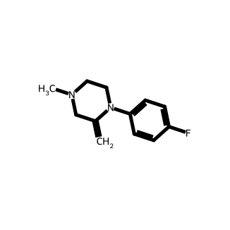 C=C1CN(C)CCN1c1ccc(F)cc1